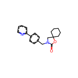 O=C1OC2(CCCCC2)CN1Cc1ccc(-c2ccccn2)cc1